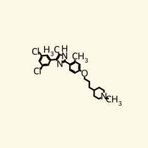 Cc1cc(OCCCC2CCN(C)CC2)ccc1-c1nc(-c2cc(Cl)cc(Cl)c2)c(C)[nH]1